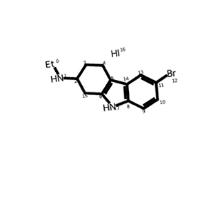 CCNC1CCc2c([nH]c3ccc(Br)cc23)C1.I